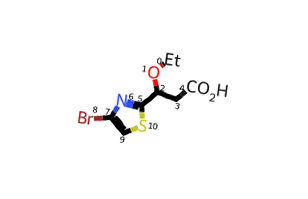 CCOC(CC(=O)O)c1nc(Br)cs1